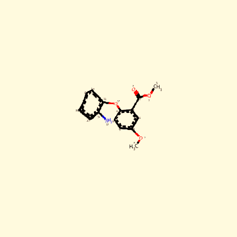 COC(=O)c1cc(OC)ccc1Oc1ccccc1N